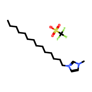 CCCCCCCCCCCCCC[n+]1ccn(C)c1.O=S(=O)([O-])C(F)(F)F